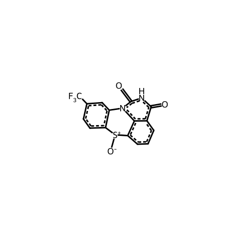 O=c1[nH]c(=O)n2c3c(cccc13)[S+]([O-])c1ccc(C(F)(F)F)cc1-2